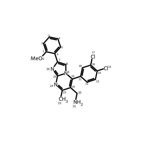 COc1ccccc1-c1cn2c(-c3ccc(Cl)c(Cl)c3)c(CN)c(C)nc2n1